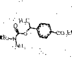 CCOC(=O)c1ccc(C(C)OC(=O)N(N)C(C)(C)C)cc1